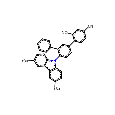 CC(C)(C)c1ccc2c(c1)c1cc(C(C)(C)C)ccc1n2-c1ccc(-c2ccc(C#N)cc2C#N)cc1-c1ccccc1